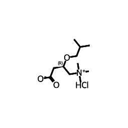 CC(C)CO[C@H](CC(=O)[O-])C[N+](C)(C)C.Cl